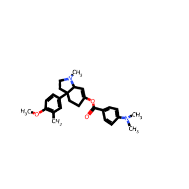 COc1ccc(C23CCC(OC(=O)c4ccc(N(C)C)cc4)=CC2N(C)CC3)cc1C